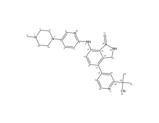 CN1CCN(c2ccc(Nc3ccc(-c4ccnc(C(C)(C)C#N)c4)c4c3C(=O)NC4)nc2)CC1